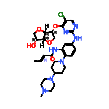 C/C=C/C(=O)Nc1cc(Nc2ncc(Cl)c(O[C@@H]3CO[C@H]4[C@@H]3OC[C@H]4O)n2)ccc1N1CCC(N2CCN(C)CC2)CC1